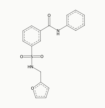 O=C(Nc1ccccc1)c1cccc(S(=O)(=O)NCc2ccco2)c1